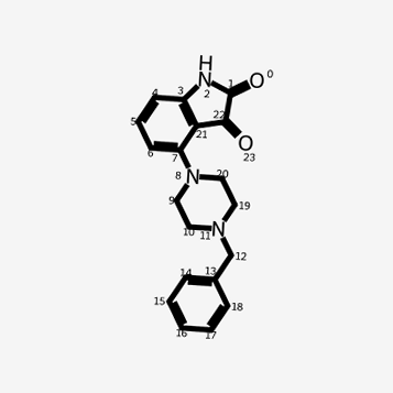 O=C1Nc2cccc(N3CCN(Cc4ccccc4)CC3)c2C1=O